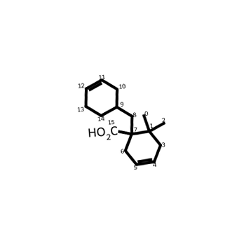 CC1(C)CC=CCC1(CC1CC=CCC1)C(=O)O